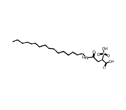 CCCCCCCCCCCCCCCCNC(=O)CC(C(=O)O)S(=O)(=O)O